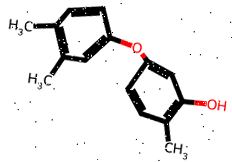 Cc1ccc(Oc2ccc(C)c(O)c2)cc1C